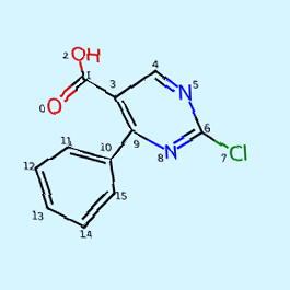 O=C(O)c1cnc(Cl)nc1-c1ccccc1